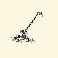 C=C(C)OC(=O)N1C[C@@H](NC(=O)CCCCCCCCCCCCCCC)C[C@H]1C(=O)NCCN(C)C